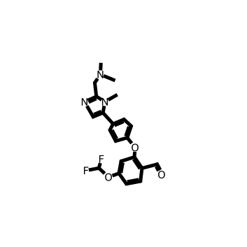 CN(C)Cc1ncc(-c2ccc(Oc3cc(OC(F)F)ccc3C=O)cc2)n1C